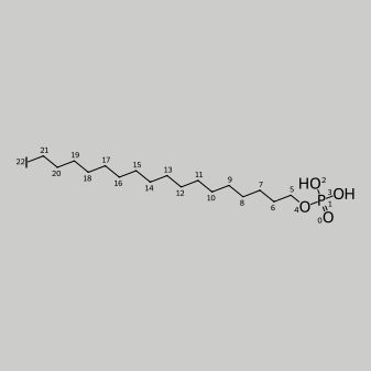 O=P(O)(O)OCCCCCCCCCCCCCCCCCI